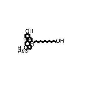 CC(=O)O[C@H]1CC[C@H]2[C@@H]3[C@H](CCCCCCCCCCCO)Cc4cc(O)ccc4[C@H]3CC[C@]12C